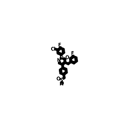 O=c1c(Cc2cccc(F)c2)c(-c2ccc(C[SH](=O)=O)cc2)cnn1-c1ccc(F)c(Cl)c1